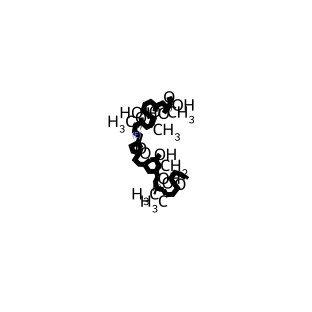 C=C1C(O)C2OC3(CCC(/C=C/[C@@H](C)C4CC(C)=CC5(OC(C[C@@](C)(O)C(=O)O)CC[C@H]5O)O4)O3)CCC2CC1C(O)C[C@H](C)C1OC2(CCCCO2)CCC1C